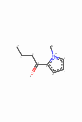 CCCC(=O)c1cccn1C